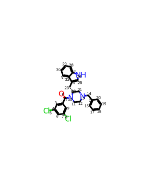 O=C(c1cc(Cl)cc(Cl)c1)N1CCN(Cc2ccccc2)C[C@H]1Cc1c[nH]c2ccccc12